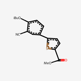 COC(=O)c1ccc(-c2ccc(OCC(C)C)c(C#N)c2)s1